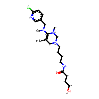 CCN(Cc1ccc(Cl)nc1)C1=C([N+](=O)[O-])CN(CCCCNC(=O)CCCO)CN1C